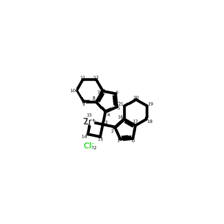 C1=CC([C]2(C3C=CC4=C3CCCC4)C[CH2][Zr+]2)C2=C1CCCC2.[Cl-]